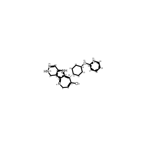 ClC1=CCN=c2c3c([nH]c2=C1[C@H]1CC[C@H](Oc2ccccn2)CC1)C=NNC3